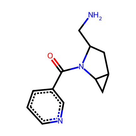 NCC1CC2CC2N1C(=O)c1cccnc1